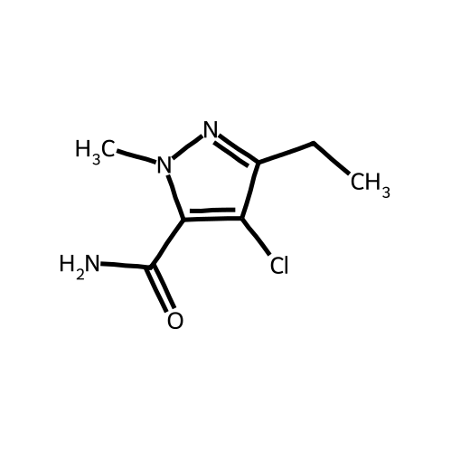 CCc1nn(C)c(C(N)=O)c1Cl